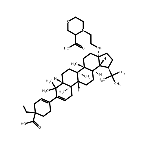 CC(C)(C)[C@@H]1CC[C@]2(NCCN3CCSCC3C(=O)O)CC[C@]3(C)[C@H](CC[C@@H]4[C@@]5(C)CC=C(C6=CC[C@@](CF)(C(=O)O)CC6)C(C)(C)[C@@H]5CC[C@]43C)[C@@H]12